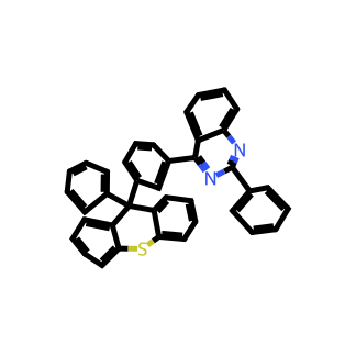 c1ccc(-c2nc(-c3cccc(C4(c5ccccc5)c5ccccc5Sc5ccccc54)c3)c3ccccc3n2)cc1